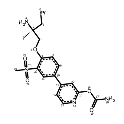 CC(C)C[C@](C)(N)COc1ccc(-c2ccnc(OC(N)=O)c2)cc1S(C)(=O)=O